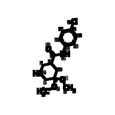 COC1(OC)CNCC(C(=O)Nc2ccc(Cl)cc2)C1